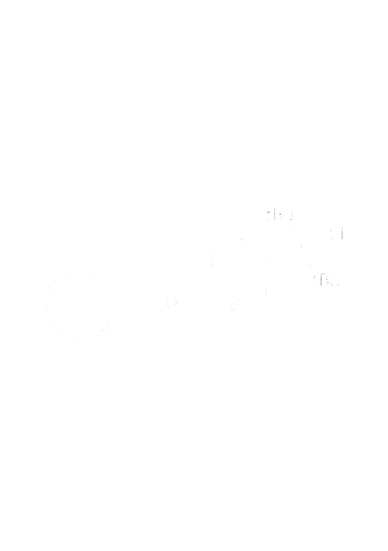 CC(C)(C)C(Cl)(c1ccc(OCc2ccccc2)cc1)C(C)(C)C